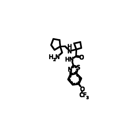 NCC1(CNC2(C(=O)Nc3nc4ccc(OC(F)(F)F)cc4s3)CCC2)CCCC1